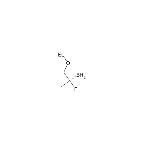 B[C@@](C)(F)COCC